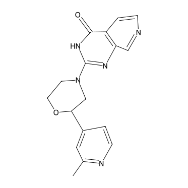 Cc1cc(C2CN(c3nc4cnccc4c(=O)[nH]3)CCO2)ccn1